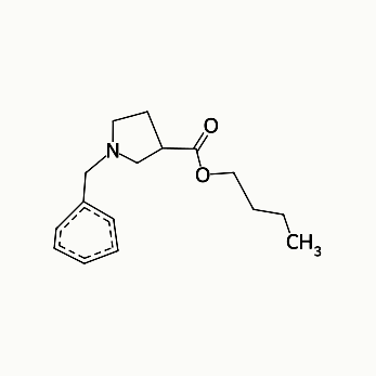 CCCCOC(=O)C1CCN(Cc2ccccc2)C1